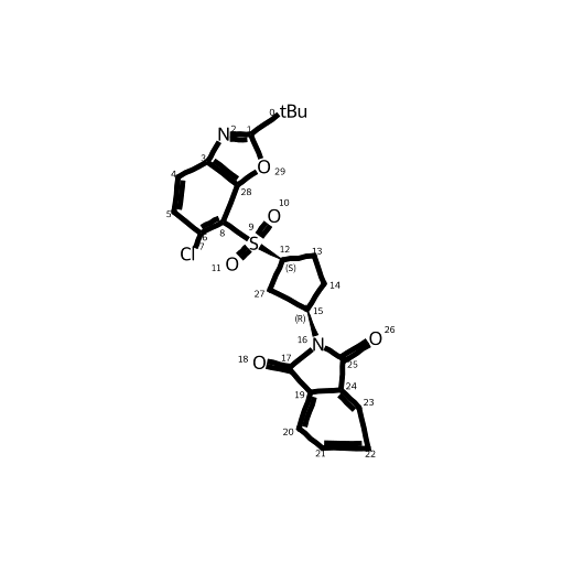 CC(C)(C)c1nc2ccc(Cl)c(S(=O)(=O)[C@H]3CC[C@@H](N4C(=O)c5ccccc5C4=O)C3)c2o1